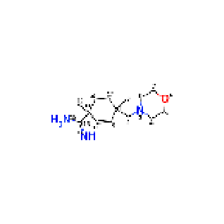 CC1(CN2CCOCC2)C=CC(C)(C(=N)N)CC1